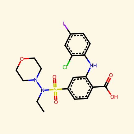 CCN(N1CCOCC1)S(=O)(=O)c1ccc(C(=O)O)c(Nc2ccc(I)cc2Cl)c1